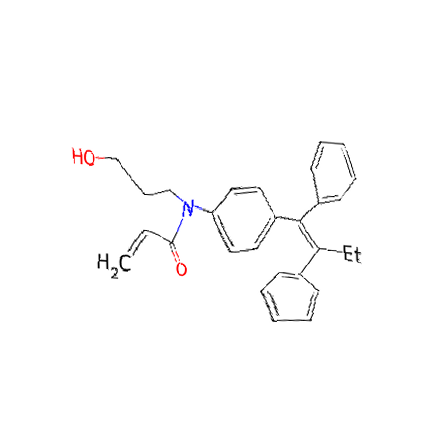 C=CC(=O)N(CCCO)c1ccc(C(=C(CC)c2ccccc2)c2ccccc2)cc1